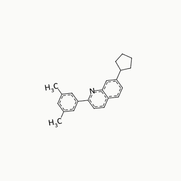 Cc1cc(C)cc(-c2ccc3ccc(C4CCCC4)cc3n2)c1